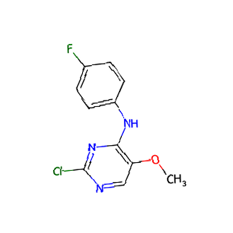 COc1cnc(Cl)nc1Nc1ccc(F)cc1